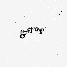 O=C(C1CC1)N1CCC(Oc2ccc(-c3cnc4ccccc4c3)nc2)CC1